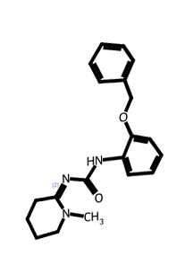 CN1CCCC/C1=N/C(=O)Nc1ccccc1OCc1ccccc1